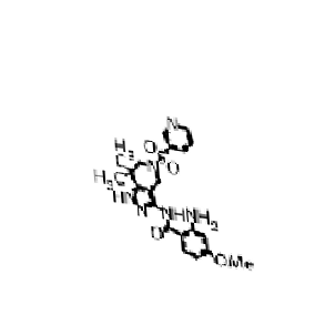 COc1ccc(C(=O)Nc2n[nH]c3c2CN(S(=O)(=O)c2cccnc2)CC3(C)C)c(N)c1